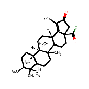 CC(=O)O[C@H]1CC[C@]2(C)[C@H]3CC[C@@H]4C5=C(C(C)C)C(=O)C[C@]5(C(=O)Cl)CC[C@@]4(C)[C@]3(C)CC[C@H]2C1(C)C